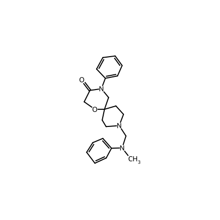 CN(CN1CCC2(CC1)CN(c1ccccc1)C(=O)CO2)c1ccccc1